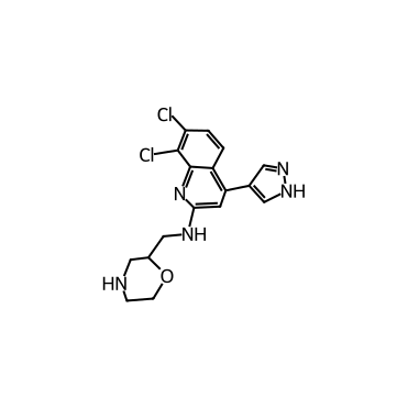 Clc1ccc2c(-c3cn[nH]c3)cc(NCC3CNCCO3)nc2c1Cl